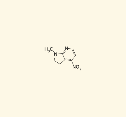 CN1CCc2c([N+](=O)[O-])ccnc21